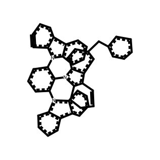 c1ccc2c3ccccc3n(-c3cccc(-n4c5ccccc5c5ccccc54)c3-n3c4c(c5cc(Cc6ccccc6)ccc53)C=CCC4)c2c#1